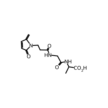 C=C1C=CC(=O)N1CCC(=O)NCC(=O)NC(C)C(=O)O